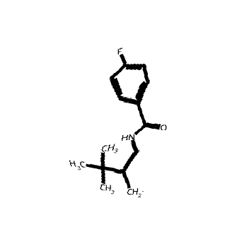 [CH2]C(CNC(=O)c1ccc(F)cc1)C(C)(C)C